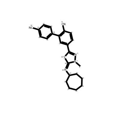 Cn1nc(-c2ccc(C#N)c(-c3ccc(C#N)cc3)c2)sc1=NC1CCCCCC1